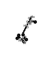 CC(C)C[C@H](NC(=O)OCC1c2ccccc2-c2ccccc21)C(=O)Nc1ccccc1CC(=O)Oc1ccc(CCCCCCCC(=O)NCCNC(=O)[C@H](CCC(=O)OC(C)(C)C)NC(=O)OCc2ccccc2)cc1